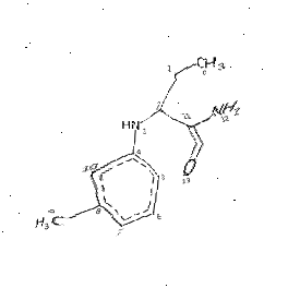 CCC(Nc1cccc(C)c1)C(N)=O